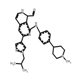 CC(C)Cn1cc(-c2cc3c(c(Nc4ccc(C5CCN(C)CC5)cc4)n2)C(C=O)NC=C3)cn1